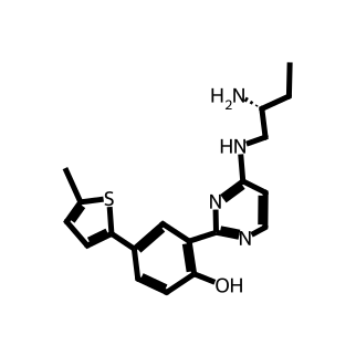 CC[C@@H](N)CNc1ccnc(-c2cc(-c3ccc(C)s3)ccc2O)n1